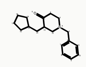 O=C1CCN(Cc2ccccc2)CC1CC1CCCC1